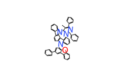 Cc1c(-c2ccccc2)nc(-c2ccccc2)nc1-n1c2ccccc2c2ccc3c(c4ccccc4n3-c3cc(-c4ccccc4)cc4c3oc3ccccc34)c21